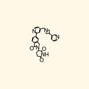 O=C1CCC(N2Cc3cc(-c4cc(CN5CC(c6cccnc6)C5)ccn4)ccc3C2=O)C(=O)N1